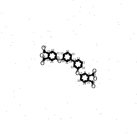 O=C1OC(=O)c2cc(Oc3cccc(-c4cccc(Oc5ccc6c(c5)C(=O)OC6=O)c4)c3)ccc21